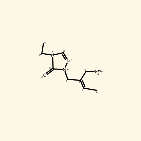 C/C=C(\CN)Cn1ncn(CC)c1=O